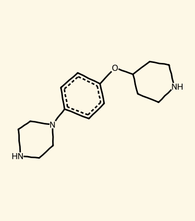 c1cc(N2CCNCC2)ccc1OC1CCNCC1